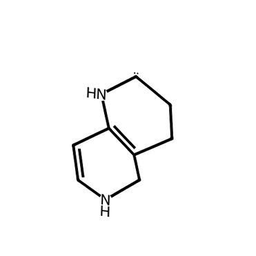 [C]1CCC2=C(C=CNC2)N1